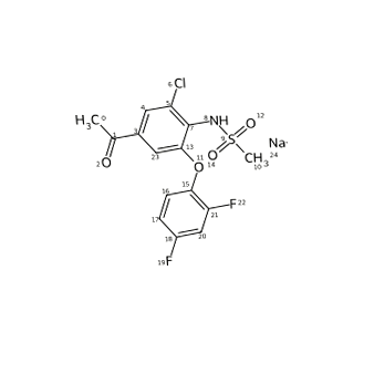 CC(=O)c1cc(Cl)c(NS(C)(=O)=O)c(Oc2ccc(F)cc2F)c1.[Na]